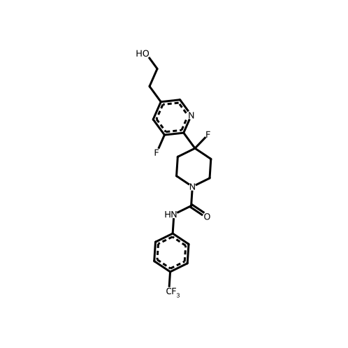 O=C(Nc1ccc(C(F)(F)F)cc1)N1CCC(F)(c2ncc(CCO)cc2F)CC1